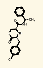 C[C@H](NC(=O)[C@@H]1COC(=O)[C@H](Cc2ccc(Cl)cc2)N1)c1ccccc1